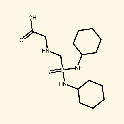 O=C(O)CNCP(=S)(NC1CCCCC1)NC1CCCCC1